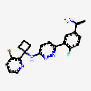 C=C(N)c1ccc(F)c(-c2ccc(NC3(c4ncccc4Br)CCC3)nn2)c1